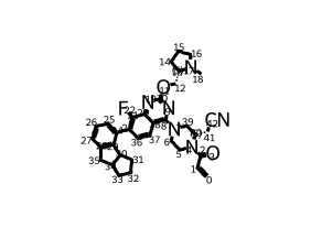 C=CC(=O)N1CCN(c2nc(OC[C@@H]3CCCN3C)nc3c(F)c(-c4cccc5c4C4CCCC4C5)ccc23)C[C@@H]1CC#N